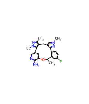 CCn1nc(C(F)(F)F)c2c1-c1cnc(N)c(c1)OC(C)c1cc(F)ccc1-c1nn(C)cc1C2